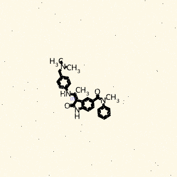 C/C(Nc1ccc(CN(C)C)cc1)=C1/C(=O)Nc2ccc(C(=O)N(C)c3ccccc3)cc21